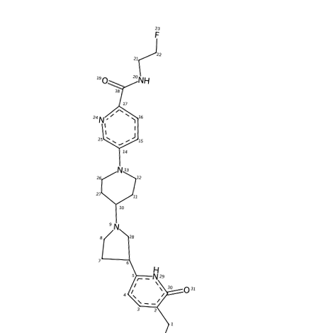 CCc1ccc(C2CCN(C3CCN(c4ccc(C(=O)NCCF)nc4)CC3)C2)[nH]c1=O